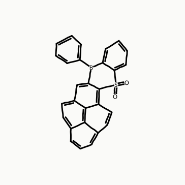 O=S1(=O)c2ccccc2B(c2ccccc2)c2cc3ccc4cccc5ccc(c21)c3c45